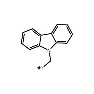 C[C](C)Cn1c2ccccc2c2ccccc21